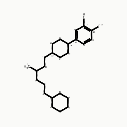 CC(CCCC1CCCCC1)CCC1CCC(c2ccc(F)c(F)c2)CC1